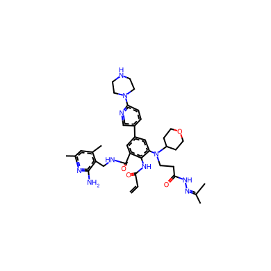 C=CC(=O)Nc1c(C(=O)NCc2c(C)cc(C)nc2N)cc(-c2ccc(N3CCNCC3)nc2)cc1N(CCC(=O)NN=C(C)C)C1CCOCC1